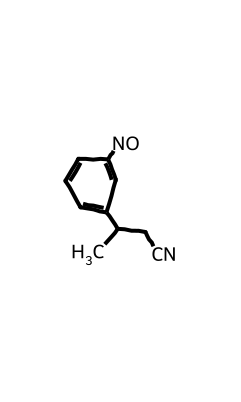 CC(CC#N)c1cccc(N=O)c1